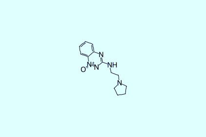 [O-][n+]1nc(NCCN2CCCC2)nc2ccccc21